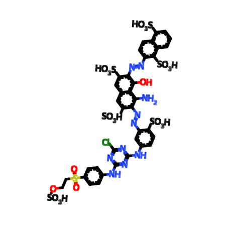 Nc1c(/N=N/c2cc(Nc3nc(Cl)nc(Nc4ccc(S(=O)(=O)CCOS(=O)(=O)O)cc4)n3)ccc2S(=O)(=O)O)c(S(=O)(=O)O)cc2cc(S(=O)(=O)O)c(/N=N/c3ccc4c(S(=O)(=O)O)cccc4c3S(=O)(=O)O)c(O)c12